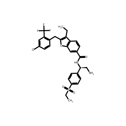 CCc1c(Cc2ccc(Cl)cc2C(F)(F)F)oc2cc(C(=O)N[C@@H](CN)c3ccc(S(=O)(=O)CC)cc3)ccc12